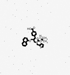 CC(C)(C)OC(=O)N(CC(=Cc1ccc(C(=O)O)cc1)COc1cccc2ccccc12)Cc1cccs1